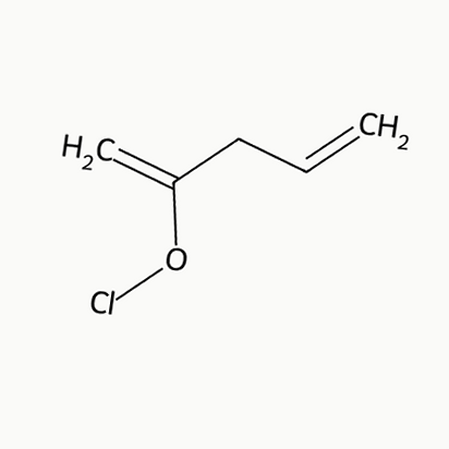 C=CCC(=C)OCl